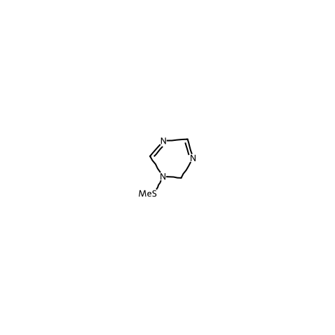 CSN1C=NC=NC1